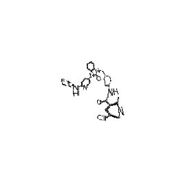 CCNc1ccc(-n2c(=O)n(CC3CCC(NC(=O)c4cc(Cl)cnc4C)CC3)c3ccccc32)cn1